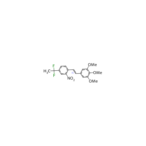 COc1cc(/C=C/c2ccc(C(C)(F)F)cc2[N+](=O)[O-])cc(OC)c1OC